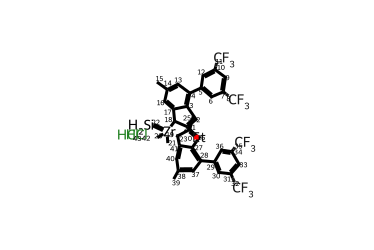 CCC1=Cc2c(-c3cc(C(F)(F)F)cc(C(F)(F)F)c3)cc(C)cc2[CH]1[Zr]([CH3])([CH3])(=[SiH2])[CH]1C(C)=Cc2c(-c3cc(C(F)(F)F)cc(C(F)(F)F)c3)cc(C)cc21.Cl.Cl